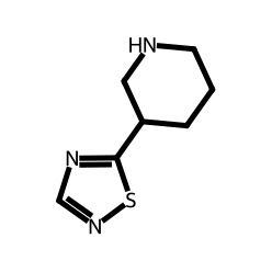 c1nsc(C2CCCNC2)n1